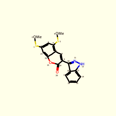 COSc1cc(SOC)c2cc(-c3n[nH]c4ccccc34)c(=O)oc2c1